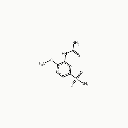 NC(=S)Nc1cc(S(N)(=O)=O)ccc1OC(F)(F)F